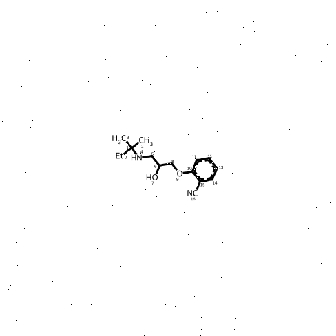 CCC(C)(C)NCC(O)COc1ccccc1C#N